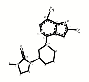 CN1CCN([C@@H]2CCCN(c3ncc(C#N)c4sc(Br)cc34)C2)C1=O